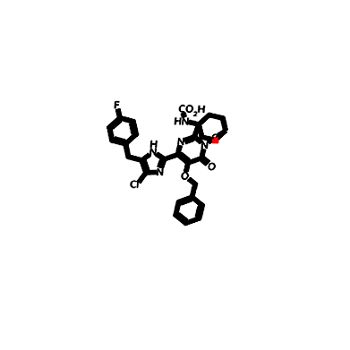 O=C(O)NC12CCC(CC1)Cn1c2nc(-c2nc(Cl)c(Cc3ccc(F)cc3)[nH]2)c(OCc2ccccc2)c1=O